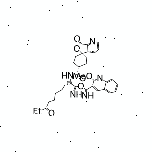 CCC(=O)CCCCC[C@H](NC(=O)[C@H]1CC[C@]2(CC1)OC(=O)c1ncccc12)C(=N)OC(=N)c1cc2ccccc2nc1OC